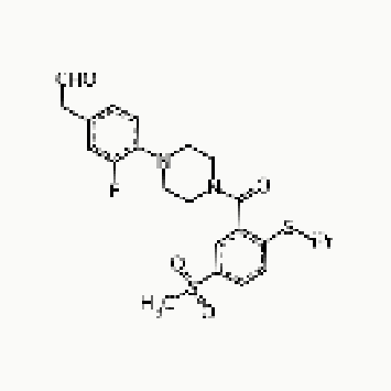 CC(C)Sc1ccc(S(C)(=O)=O)cc1C(=O)N1CCN(c2ccc(CC=O)cc2F)CC1